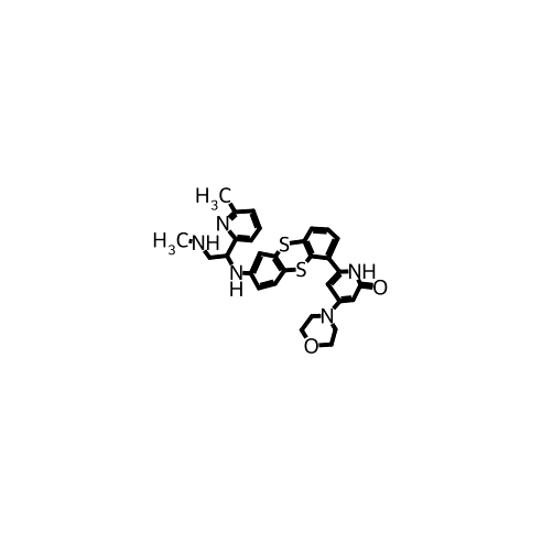 CNCC(Nc1ccc2c(c1)Sc1cccc(-c3cc(N4CCOCC4)cc(=O)[nH]3)c1S2)c1cccc(C)n1